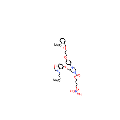 COCCCN1CCOc2ccc(OC[C@H]3CN(C(=O)OCCCCON(O)O)CCN3c3ccc(OCCCOCc4ccccc4OC)cc3)cc21